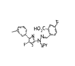 Cc1cccc(-c2nc(N(/N=C/c3ccc(F)cc3C(=O)O)C(C)C)sc2F)c1